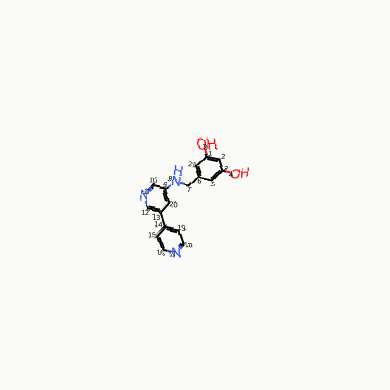 Oc1cc(O)cc(CNc2cncc(-c3ccncc3)c2)c1